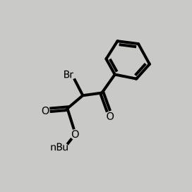 CCCCOC(=O)C(Br)C(=O)c1ccccc1